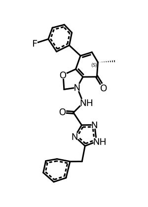 C[C@H]1C=C(c2cccc(F)c2)C2=C(C1=O)N(NC(=O)c1n[nH]c(Cc3ccccc3)n1)CO2